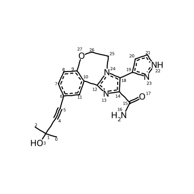 CC(C)(O)C#Cc1ccc2c(c1)-c1nc(C(N)=O)c(-c3cc[nH]n3)n1CCO2